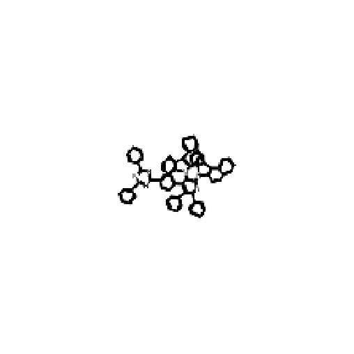 c1ccc(-c2nc(-c3ccccc3)nc(-c3ccc(-c4c(-c5ccccc5)c(-c5ccccc5)nc(-n5c6ccccc6c6c7ccccc7ccc65)c4-n4c5ccccc5c5c6ccccc6ccc54)cc3)n2)cc1